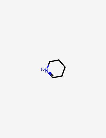 C1=[15N]CCCC1